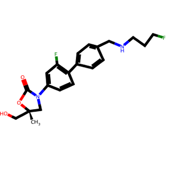 C[C@]1(CO)CN(c2ccc(-c3ccc(CNCCCF)cc3)c(F)c2)C(=O)O1